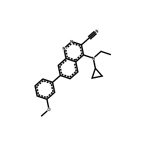 CCN(c1c(C#N)nnc2cc(-c3cccc(OC)c3)ccc12)C1CC1